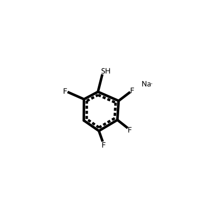 Fc1cc(F)c(S)c(F)c1F.[Na]